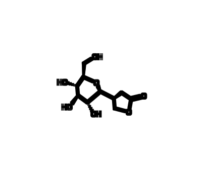 O=C1C[C@H]([C@@H]2O[C@H](CO)[C@@H](O)[C@H](O)[C@H]2O)CO1